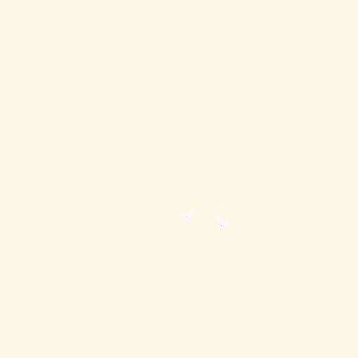 O=C(O)c1coc(-c2cc(OCc3ccccc3)c(OCc3ccccc3)cn2)n1